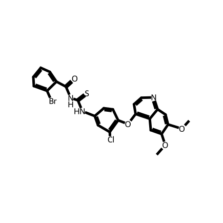 COc1cc2nccc(Oc3ccc(NC(=S)NC(=O)c4ccccc4Br)cc3Cl)c2cc1OC